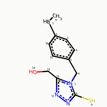 CBc1ccc(Cn2c(S)nnc2CO)cc1